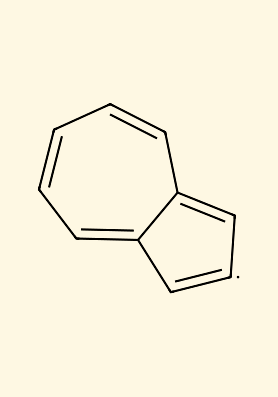 [c]1cc2cccccc-2c1